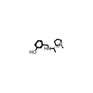 CC(NCc1cccc(O)c1)[C@@H]1CCCN1C